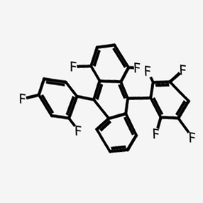 Fc1ccc(-c2c3ccccc3c(-c3c(F)c(F)cc(F)c3F)c3c(F)ccc(F)c23)c(F)c1